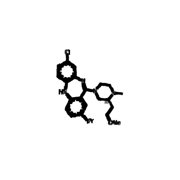 COCC[C@H]1CN(C2=Nc3cc(Cl)ccc3Nc3ccc(C(C)C)cc32)CCN1C